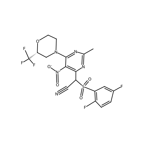 Cc1nc(C(C#N)S(=O)(=O)c2cc(F)ccc2F)c([N+](=O)[O-])c(N2CCO[C@@H](C(F)(F)F)C2)n1